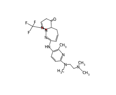 Cc1nc(N(C)CCN(C)C)ccc1NC1=NC23N=CN=C(C(F)(F)F)C2=CCC(=O)C3CC=C1